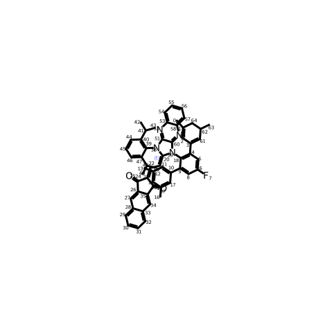 CC1=CC(c2cc(F)cc(-c3cc(C)cc(C)c3)c2N2/C(=C/C=C3C(=O)c4cc5ccccc5cc4C3=O)N(c3c(C(C)C)cccc3C(C)C)c3nc4ccccc4nc32)=CC(C)C1